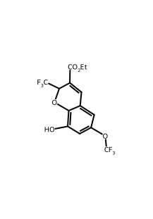 CCOC(=O)C1=Cc2cc(OC(F)(F)F)cc(O)c2OC1C(F)(F)F